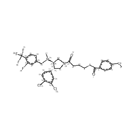 COc1ccc(C(=O)CCCCC(=O)N2C[C@H](c3ccc(Cl)c(Cl)c3)[C@@H](N(C)Cc3ccc(C(F)(F)F)c(F)c3)C2)cc1